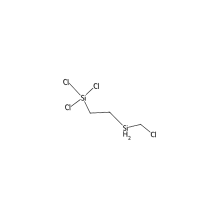 ClC[SiH2]CC[Si](Cl)(Cl)Cl